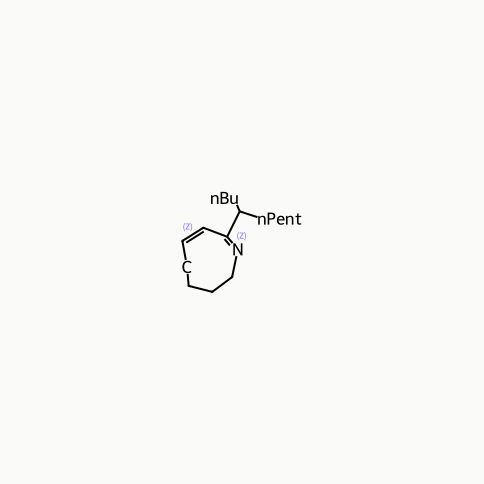 CCCCCC(CCCC)C1=N/CCCC/C=C\1